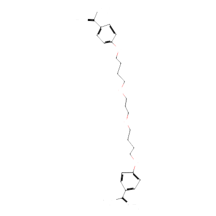 C=C(C(=O)OCC)c1ccc(OCCCCOCCCOCCCCOc2ccc(C(=C)C(=O)OCC)cc2)cc1